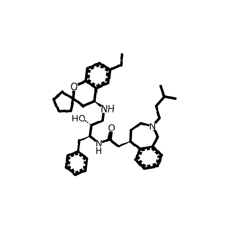 CCc1ccc2c(c1)[C@@H](NC[C@@H](O)[C@H](Cc1ccccc1)NC(=O)C[C@H]1CCN(CCC(C)C)Cc3ccccc31)CC1(CCCC1)O2